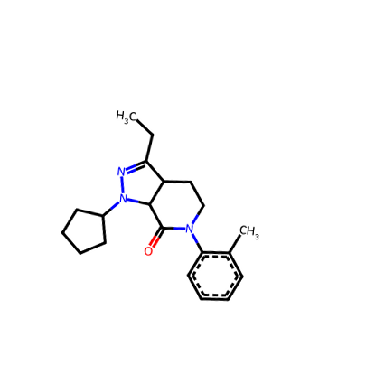 CCC1=NN(C2CCCC2)C2C(=O)N(c3ccccc3C)CCC12